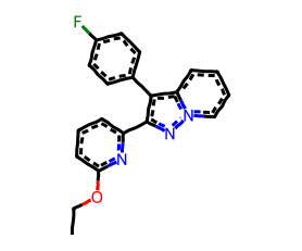 CCOc1cccc(-c2nn3ccccc3c2-c2ccc(F)cc2)n1